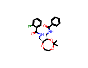 CC1(C)OCCO[C@H](CNC(=O)c2ccccc2F)[C@H](CNC(=O)c2ccccc2)O1